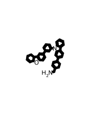 NCC1=CC=C(c2ccc3c4ccccc4n(-c4cccc(-c5ccc6c(c5)C5CCC=CC5O6)c4)c3c2)CC1